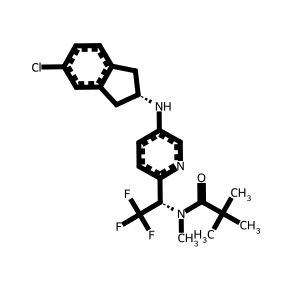 CN(C(=O)C(C)(C)C)[C@@H](c1ccc(N[C@H]2Cc3ccc(Cl)cc3C2)cn1)C(F)(F)F